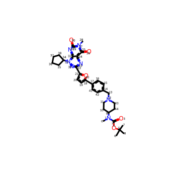 CN(C(=O)OC(C)(C)C)C1CCN(Cc2ccc(-c3ccc(-c4nc5c(=O)n(C)c(=O)nc-5n(C5CCCC5)n4)o3)cc2)CC1